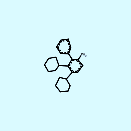 Pc1ccc(C2CCCCC2)c(C2CCCCC2)c1-c1ccccc1